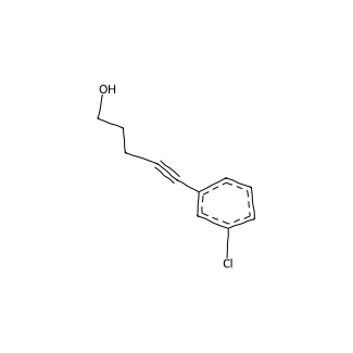 OCCCC#Cc1cccc(Cl)c1